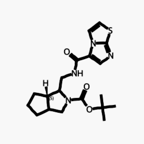 CC(C)(C)OC(=O)N1CC2CCC[C@@H]2C1CNC(=O)c1cnc2sccn12